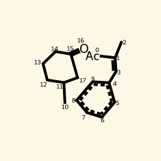 CC(=O)/C(C)=C\c1ccccc1.CC1CCCC(=O)C1